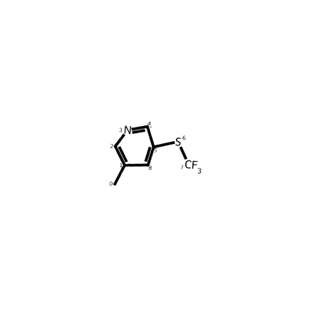 Cc1cn[c]c(SC(F)(F)F)c1